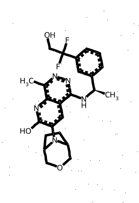 Cc1nnc(N[C@H](C)c2cccc(C(F)(F)CO)c2)c2cc(N3C4CCC3COC4)c(O)nc12